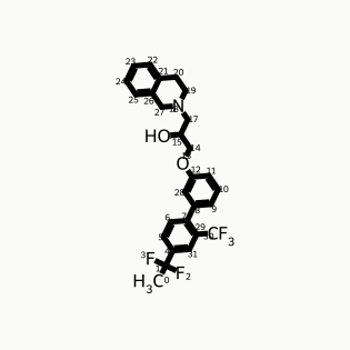 CC(F)(F)c1ccc(-c2cccc(OCC(O)CN3CCc4ccccc4C3)c2)c(C(F)(F)F)c1